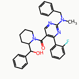 CN(Cc1ccccc1)c1ncc(C(=O)N2CCCCC2C(O)c2ccccc2)c(-c2ccccc2F)n1